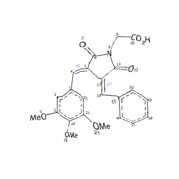 COc1cc(/C=C2/C(=O)N(CC(=O)O)C(=O)/C2=C\c2ccccc2)cc(OC)c1OC